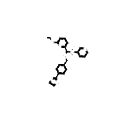 O=C(O)CNc1cccc(C(NCc2ccc(-c3nccs3)cc2)S(=O)(=O)c2cccnc2)n1